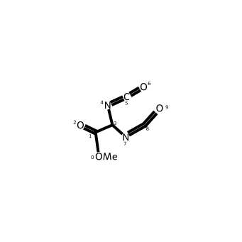 COC(=O)C(N=C=O)N=C=O